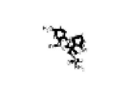 Cc1ccc(NC(=O)C2(c3ccccc3C(C)C)CN(S(N)(=O)=O)C2)c(OC(C)C)n1